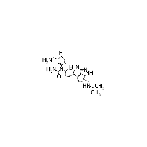 CC(C)NCc1ccc(-c2ccc(N(C(N)=O)c3ccc(F)c(CN)c3)cc2)c2c(N)n[nH]c12